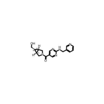 O=C(c1cnc(NCc2cccnc2)nc1)N1C[C@@H]2[C@@H](CO)[C@@H]2C1